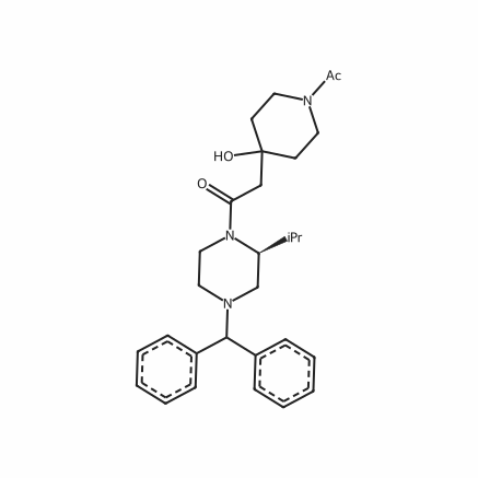 CC(=O)N1CCC(O)(CC(=O)N2CCN(C(c3ccccc3)c3ccccc3)C[C@@H]2C(C)C)CC1